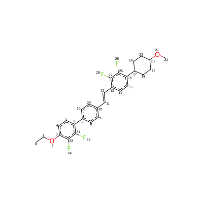 CCOc1ccc(-c2ccc(/C=C/c3ccc(C4CCC(OC)CC4)c(F)c3F)cc2)c(F)c1F